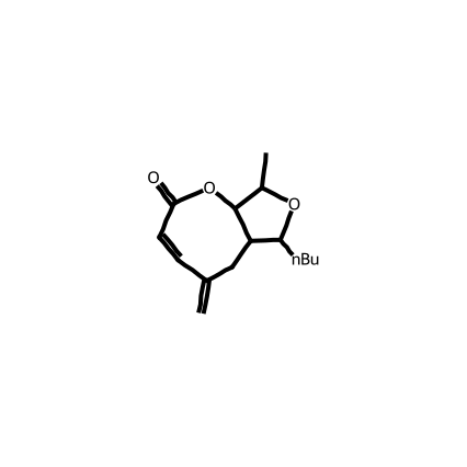 C=C1/C=C\C(=O)OC2C(C)OC(CCCC)C2C1